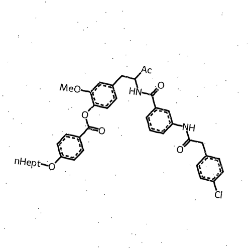 CCCCCCCOc1ccc(C(=O)Oc2ccc(CC(NC(=O)c3cccc(NC(=O)Cc4ccc(Cl)cc4)c3)C(C)=O)cc2OC)cc1